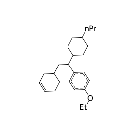 CCCC1CCC(C(CC2CC=CCC2)c2ccc(OCC)cc2)CC1